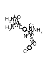 [C-]#[N+]c1c(N)nc(SCc2coc(-c3ccc(Cl)cc3)n2)c(C#N)c1-c1ccc(OC[C@H](COC(=O)[C@H](C)N)OC(=O)[C@H](C)N)cc1